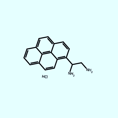 Cl.NCC(N)c1ccc2ccc3cccc4ccc1c2c34